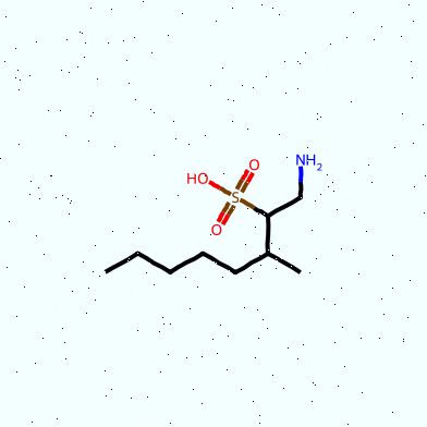 CCCCCC(C)C(CN)S(=O)(=O)O